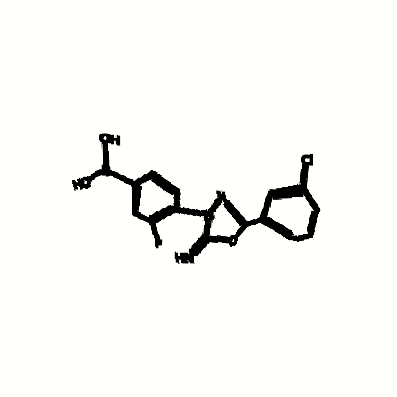 N=c1oc(-c2cccc(Cl)c2)nn1-c1ccc(B(O)O)cc1F